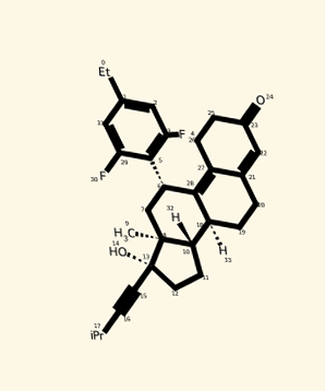 CCc1cc(F)c([C@H]2C[C@@]3(C)[C@@H](CC[C@@]3(O)C#CC(C)C)[C@@H]3CCC4=CC(=O)CCC4=C32)c(F)c1